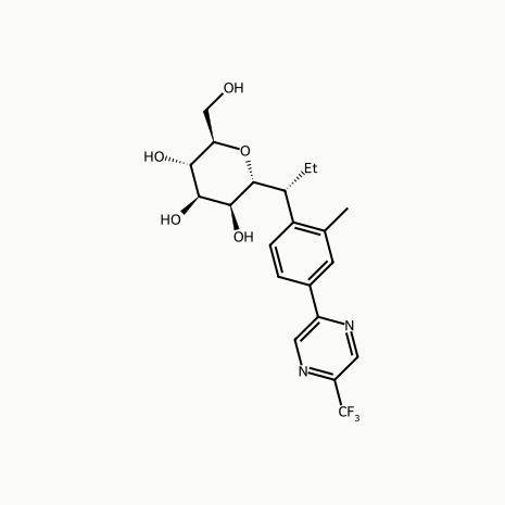 CC[C@H](c1ccc(-c2cnc(C(F)(F)F)cn2)cc1C)[C@H]1O[C@H](CO)[C@@H](O)[C@H](O)[C@@H]1O